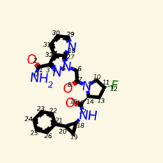 NC(=O)c1nn(CC(=O)N2C[C@H](F)C[C@H]2C(=O)NC2CC2c2ccccc2)c2ncccc12